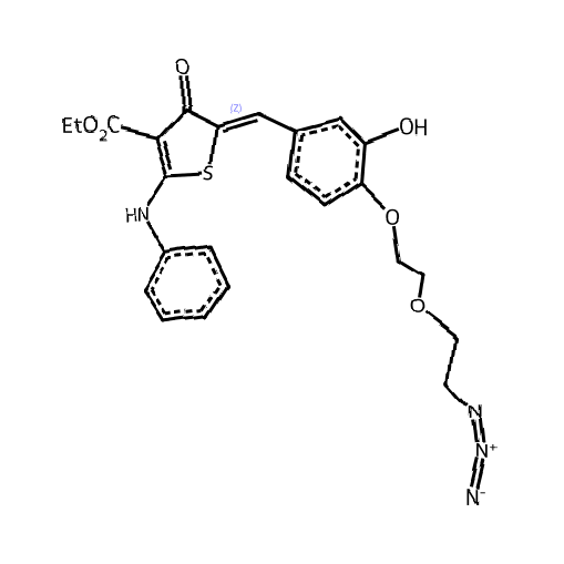 CCOC(=O)C1=C(Nc2ccccc2)S/C(=C\c2ccc(OCCOCCN=[N+]=[N-])c(O)c2)C1=O